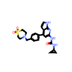 O=C(Nc1cc(-c2ccc(CN3CCS(=O)(=O)CC3)cc2)c2cc[nH]c2n1)NC1CC1